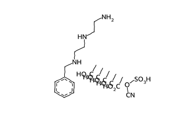 CC(=O)O.CC(=O)O.CC(=O)O.CC(=O)O.CC(=O)O.N#COS(=O)(=O)O.NCCNCCNCc1ccccc1